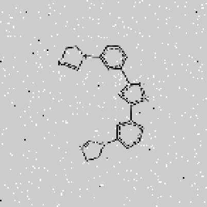 C1=NCCN1c1cccc(-c2cc(-c3cccc(N4C=NCC4)c3)on2)c1